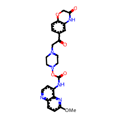 COc1ccc2nccc(NC(=O)ON3CCN(CC(=O)c4ccc5c(c4)NC(=O)CO5)CC3)c2n1